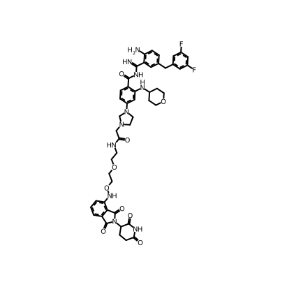 N=C(NC(=O)c1ccc(N2CCN(CC(=O)NCCOCCONc3cccc4c3C(=O)N(C3CCC(=O)NC3=O)C4=O)C2)cc1NC1CCOCC1)c1cc(Cc2cc(F)cc(F)c2)ccc1N